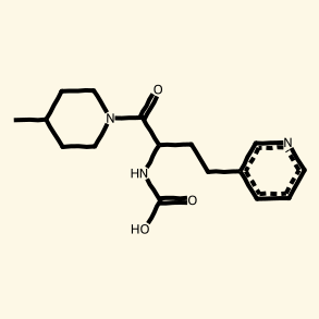 CC1CCN(C(=O)C(CCc2cccnc2)NC(=O)O)CC1